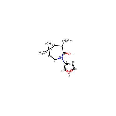 CNC1CC(C)(C)CCN(c2ccoc2)C1=O